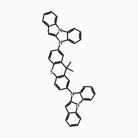 CC1(C)c2cc(-n3c4ccccc4n4c5ccccc5cc34)ccc2Sc2ccc(-n3c4ccccc4n4c5ccccc5cc34)cc21